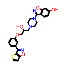 Oc1ccc2c(N3CCN(CC(O)COc4cccc(-c5noc6ccsc56)c4)CC3)noc2c1